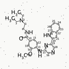 CCN(CC)CCNC(=O)c1ccc(Nc2cncc(-c3cc4ccccc4[nH]3)n2)c(OC)c1